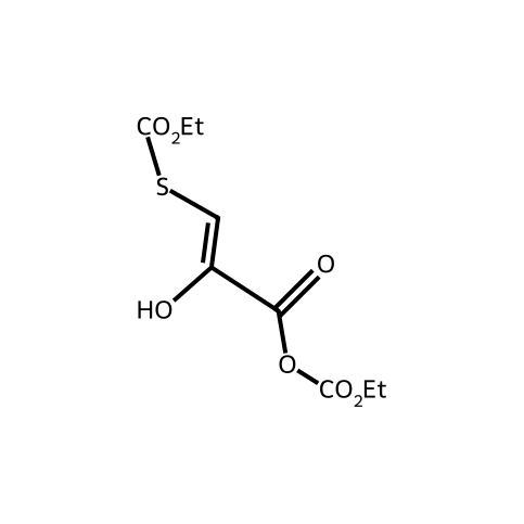 CCOC(=O)OC(=O)C(O)=CSC(=O)OCC